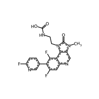 Cn1c(=O)n(CCNC(=O)O)c2c3c(F)c(-c4ccc(F)nc4)c(F)cc3ncc21